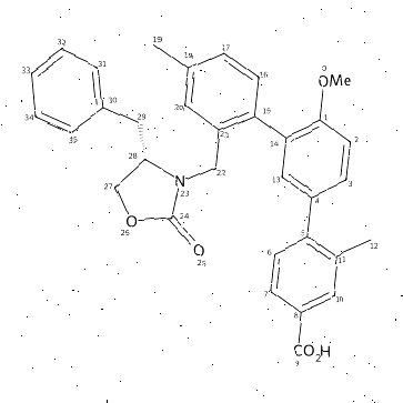 COc1ccc(-c2ccc(C(=O)O)cc2C)cc1-c1ccc(C)cc1CN1C(=O)OC[C@@H]1Cc1ccccc1